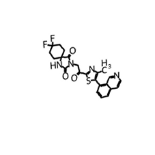 Cc1nc(C(=O)CN2C(=O)NC3(CCC(F)(F)CC3)C2=O)sc1-c1cccc2ccncc12